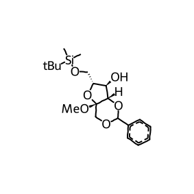 CO[C@]12COC(c3ccccc3)O[C@H]1[C@H](O)[C@@H](CO[Si](C)(C)C(C)(C)C)O2